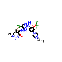 Cc1csc(Nc2nc(Nc3ccc(N4CCN(C)CC4)cc3OC(F)F)ncc2Cl)c1C(N)=O